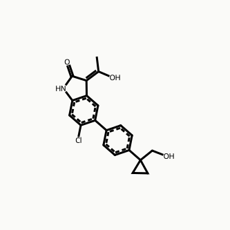 C/C(O)=C1\C(=O)Nc2cc(Cl)c(-c3ccc(C4(CO)CC4)cc3)cc21